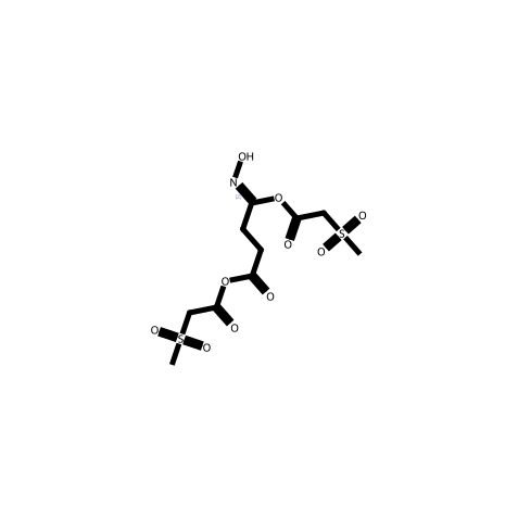 CS(=O)(=O)CC(=O)OC(=O)CC/C(=N/O)OC(=O)CS(C)(=O)=O